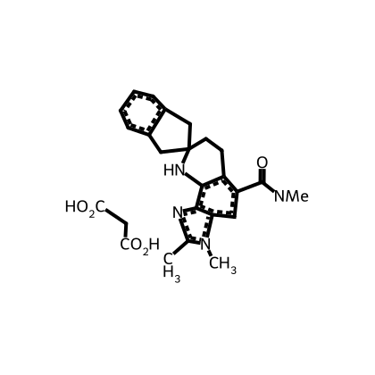 CNC(=O)c1cc2c(nc(C)n2C)c2c1CCC1(Cc3ccccc3C1)N2.O=C(O)CC(=O)O